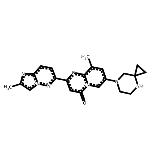 Cc1cn2nc(-c3cc(=O)n4cc(N5CCNC6(CC6)C5)cc(C)c4n3)ccc2n1